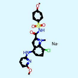 COc1ccc(S(=O)(=O)NC(=O)c2cc3c(Nc4cccc(OC)n4)ccc(Cl)c3n2C)cc1.[Na]